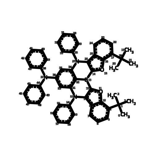 CC(C)(C)c1cccc2c3c(oc12)B1c2oc4c(C(C)(C)C)cccc4c2N(c2ccccc2)c2cc(N(c4ccccc4)c4ccccc4)cc(c21)N3c1ccccc1